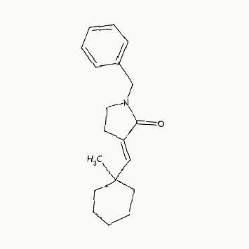 CC1(C=C2CCN(Cc3ccccc3)C2=O)CCCCC1